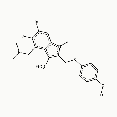 CCOC(=O)c1c(CSc2ccc(OCC)cc2)n(C)c2cc(Br)c(O)c(CN(C)C)c12